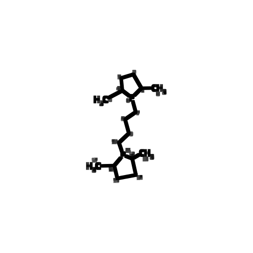 CC1CCC(C)P1CCCCP1C(C)CCC1C